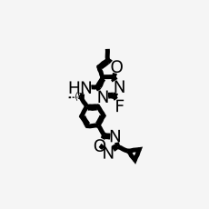 Cc1cc2c(N[C@@H](C)c3ccc(-c4nc(C5CC5)no4)cc3)nc(F)nc2o1